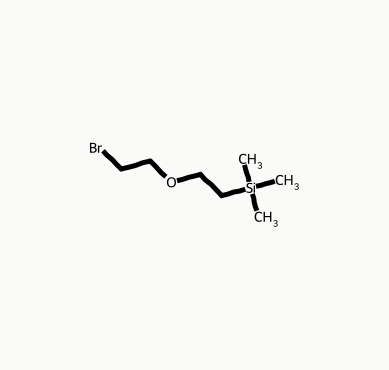 C[Si](C)(C)CCOCCBr